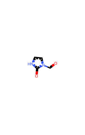 O=Cn1cc[nH]c1=O